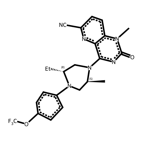 CC[C@@H]1CN(c2nc(=O)n(C)c3ccc(C#N)nc23)[C@@H](C)CN1c1ccc(OC(F)(F)F)cc1